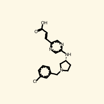 O=C(O)C=Cc1cnc(N[C@@H]2CCN(Cc3cccc(Cl)c3)C2)cn1